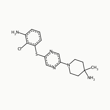 CC1(N)CCN(c2cnc(Sc3cccc(N)c3Cl)cn2)CC1